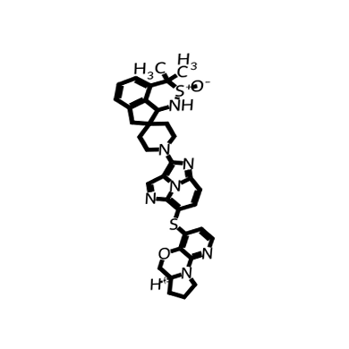 CC1(C)c2cccc3c2C(N[S+]1[O-])C1(CCN(c2nc4ccc(Sc5ccnc6c5OC[C@@H]5CCCN65)c5ncc2n45)CC1)C3